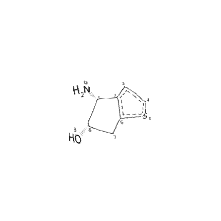 N[C@@H]1c2ccsc2C[C@@H]1O